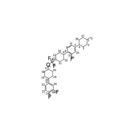 CC1CCC(c2ccc(C3CCC(C(F)(F)OC4CCC(c5ccc(F)c(F)c5)CC4)CC3)c(F)c2)CC1